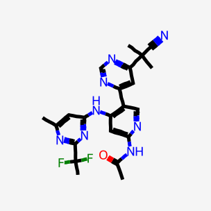 CC(=O)Nc1cc(Nc2cc(C)nc(C(C)(F)F)n2)c(-c2cc(C(C)(C)C#N)ncn2)cn1